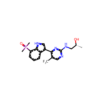 C[C@@H](O)CNc1ncc(C(F)(F)F)c(-c2c[nH]c3c(P(C)(C)=O)cccc23)n1